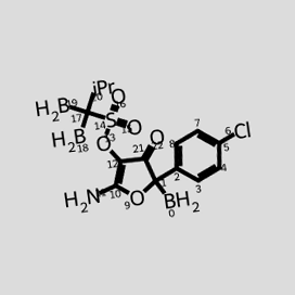 BC1(c2ccc(Cl)cc2)OC(N)=C(OS(=O)(=O)C(B)(B)C(C)C)C1=O